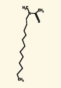 CCCCCCCCCCCCN(C)C(C)=S